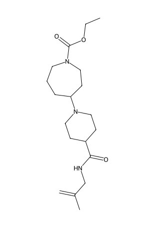 C=C(C)CNC(=O)C1CCN(C2CCCN(C(=O)OCC)CC2)CC1